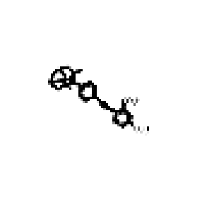 CC12CC3CC(C1)CC(C)(C3)C2c1ccc(C#Cc2ccc(C(=O)O)cc2C(=O)O)cc1